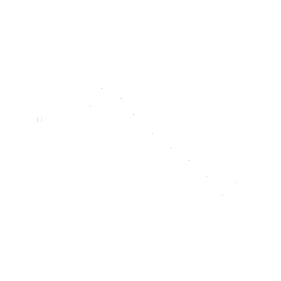 CC[SiH2]C(F)(F)C(F)(F)C(F)(F)C(F)(F)C(F)(F)C(F)(F)C(F)(F)C(F)(F)F